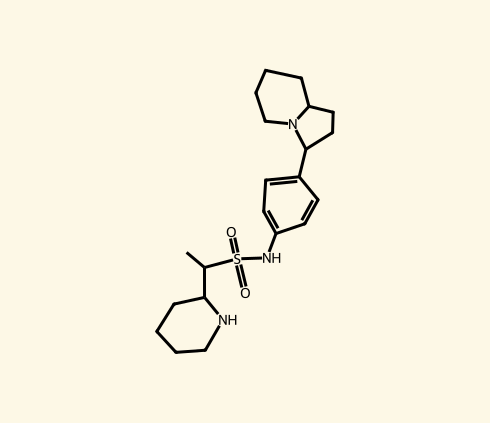 CC(C1CCCCN1)S(=O)(=O)Nc1ccc(C2CCC3CCCCN32)cc1